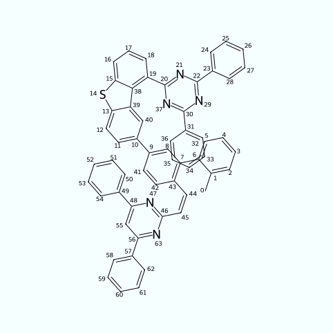 Cc1ccccc1-c1cc(-c2ccc3sc4cccc(-c5nc(-c6ccccc6)nc(-c6ccccc6)n5)c4c3c2)ccc1/C=C\c1nc(-c2ccccc2)cc(-c2ccccc2)n1